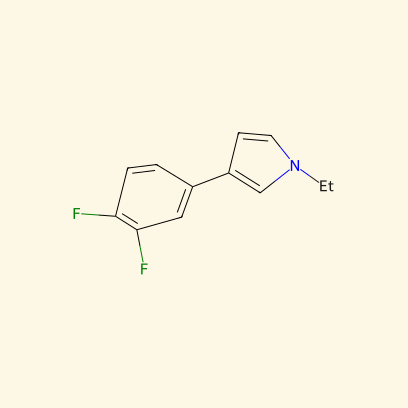 CCn1ccc(-c2ccc(F)c(F)c2)c1